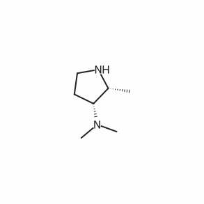 C[C@H]1NCC[C@H]1N(C)C